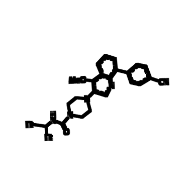 CCC(CC)NC(=O)N1CCN(c2cnc3c(-c4ccc(C#N)cc4)cccc3c2OC)CC1